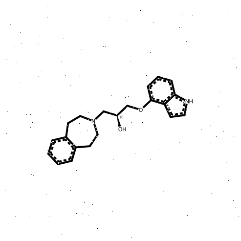 O[C@H](COc1cccc2[nH]ccc12)CN1CCc2ccccc2CC1